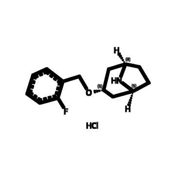 Cl.Fc1ccccc1CO[C@@H]1C[C@H]2CC[C@@H](C1)N2